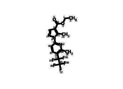 CCOC(=O)c1cnn(-c2ccc(C(F)(F)C(F)(F)F)c(C)n2)c1C